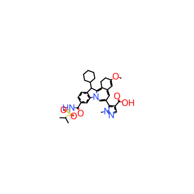 COC1=CC2=CC(c3c(C(=O)O)cnn3C)=CN3C(=C2CC1)C(C1CCCCC1)c1ccc(C(=O)NS(=O)(=O)C(C)C)cc13